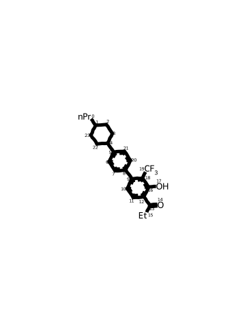 CCCC1CCC(c2ccc(-c3ccc(C(=O)CC)c(O)c3C(F)(F)F)cc2)CC1